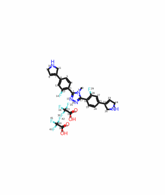 Cn1c(-c2ccc(C3=CCNC3)cc2F)nnc1-c1ccc(C2=CCNC2)cc1F.O=C(O)C(F)(F)F.O=C(O)C(F)(F)F